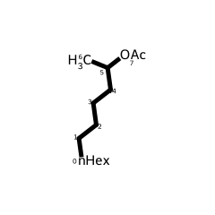 CCCCCCCCC[CH]C(C)OC(C)=O